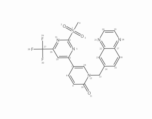 CS(=O)(=O)c1nc(-c2ccc(=O)n(Cc3ccc4nccnc4c3)c2)cc(C(F)(F)F)n1